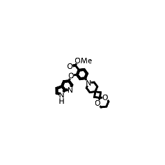 COC(=O)c1ccc(N2CCC3(CC2)CC2(C3)OCCCO2)cc1Oc1cnc2[nH]ccc2c1